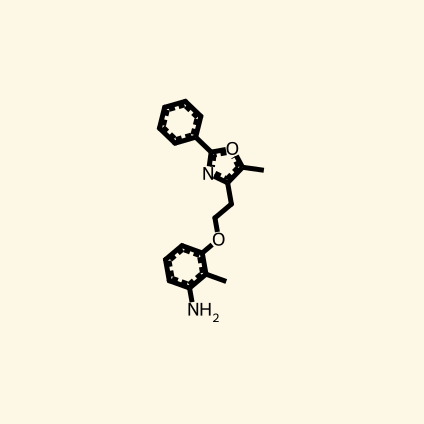 Cc1oc(-c2ccccc2)nc1CCOc1cccc(N)c1C